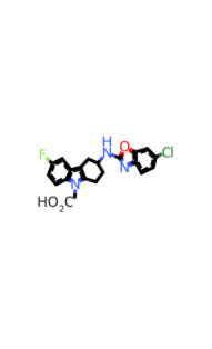 O=C(O)Cn1c2c(c3cc(F)ccc31)CC(Nc1nc3ccc(Cl)cc3o1)CC2